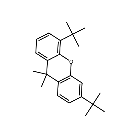 CC(C)(C)c1ccc2c(c1)Oc1c(C(C)(C)C)cccc1C2(C)C